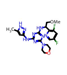 COCC(Nc1nc(Nc2cc(C)[nH]n2)nc(N2CCOCC2)n1)c1ncc(F)cc1F